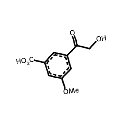 COc1cc(C(=O)O)cc(C(=O)CO)c1